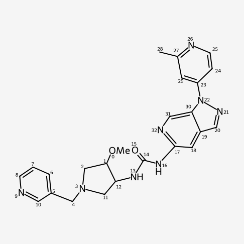 COC1CN(Cc2cccnc2)CC1NC(=O)Nc1cc2cnn(-c3ccnc(C)c3)c2cn1